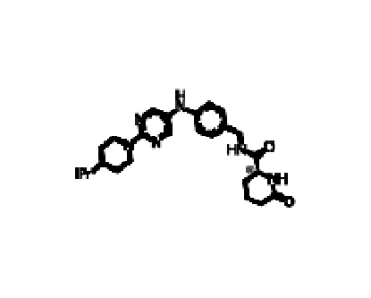 CC(C)C1CCN(c2ncc(Nc3ccc(CNC(=O)[C@@H]4CCCC(=O)N4)cc3)cn2)CC1